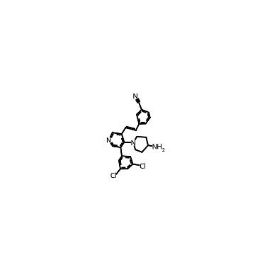 N#Cc1cccc(C=Cc2cncc(-c3cc(Cl)cc(Cl)c3)c2N2CCC(N)CC2)c1